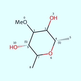 COC1C(O)[C@H](C)OC(C)[C@@H]1O